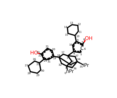 CCCC12CC3(c4ccc(O)c(C5CCCCC5)c4)CC(c4ccc(O)c(C5CCCCC5)c4)(C1)CC(C(C)C)(C2)C3